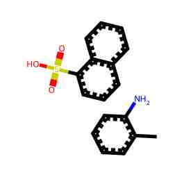 Cc1ccccc1N.O=S(=O)(O)c1cccc2ccccc12